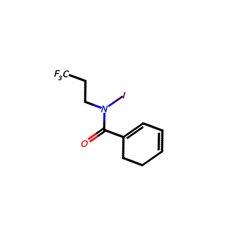 O=C(C1=CC=CCC1)N(I)CCC(F)(F)F